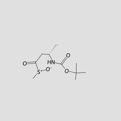 [CH2][C@@H](CC(=O)[S+](C)[O-])NC(=O)OC(C)(C)C